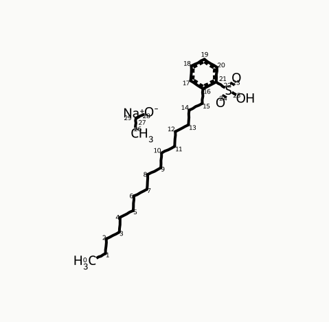 CCCCCCCCCCCCCCCCc1ccccc1S(=O)(=O)O.CC[O-].[Na+]